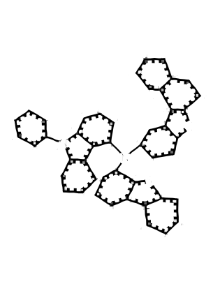 c1ccc(-n2c3ccccc3c3c(N(c4ccc5oc6ccc7ccccc7c6c5c4)c4cccc5c4sc4ccccc45)cccc32)cc1